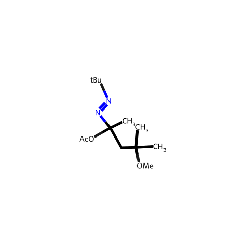 COC(C)(C)CC(C)(/N=N/C(C)(C)C)OC(C)=O